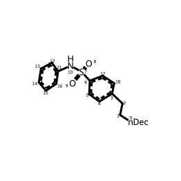 CCCCCCCCCCCCc1ccc(S(=O)(=O)Nc2[c]cccc2)cc1